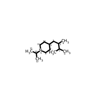 CC(C)C(C)CC1CCN(C(C)C)CC1